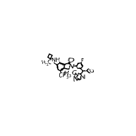 Cn1ncnc1C(c1cc(F)cc(N2Cc3c(cc(CNC4(C)CCC4)cc3C(F)(F)F)C2=O)c1)C1COC1